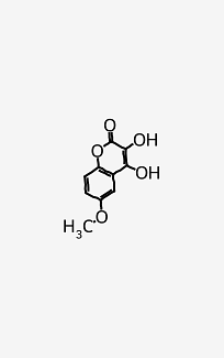 COc1ccc2oc(=O)c(O)c(O)c2c1